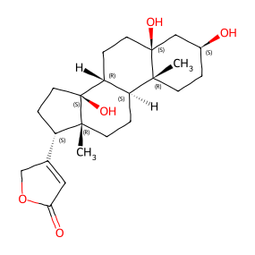 C[C@]12CC[C@H](O)C[C@@]1(O)CC[C@@H]1[C@@H]2CC[C@]2(C)[C@H](C3=CC(=O)OC3)CC[C@]12O